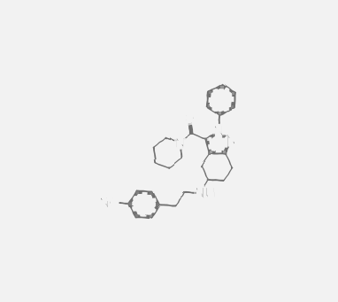 N#Cc1ccc(CCNC2CCc3nn(-c4ccccc4)c(C(=O)N4CCCCC4)c3C2)cc1